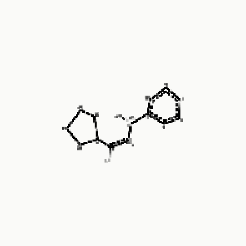 CC(=N[C@H](C)c1ccccc1)C1CCCC1